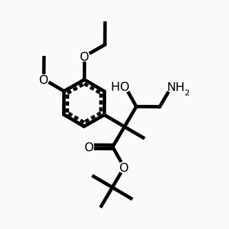 CCOc1cc(C(C)(C(=O)OC(C)(C)C)C(O)CN)ccc1OC